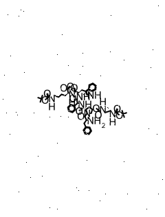 COC(=O)[C@H](CCCCNC(=O)OC(C)(C)C)NC(=O)[C@@H](Cc1c[nH]c2ccccc12)NC(=O)[C@@H](NC(=O)[C@@H]1C[C@@H](OC(=O)NCCNC(=O)OC(C)(C)C)CN1C(=O)[C@@H](N)Cc1ccccc1)c1ccccc1